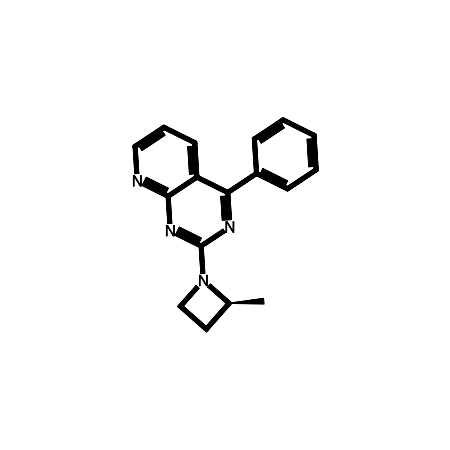 C[C@H]1CCN1c1nc(-c2ccccc2)c2cccnc2n1